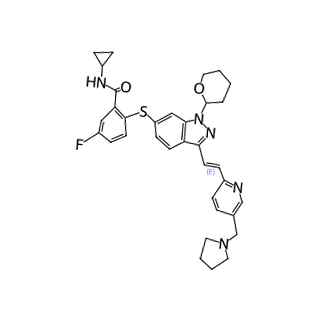 O=C(NC1CC1)c1cc(F)ccc1Sc1ccc2c(/C=C/c3ccc(CN4CCCC4)cn3)nn(C3CCCCO3)c2c1